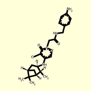 C[C@@H]1[C@H]2C[C@@H](C[C@H]1Nc1cnn(CC(=O)NCc3ccc(N)cc3)c(=O)c1Cl)C2(C)C